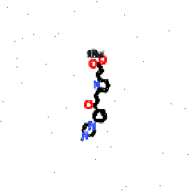 CN1CCN(c2cccc(C(=O)/C=C/c3cccc(/C=C/C(=O)OC(C)(C)C)n3)c2)CC1